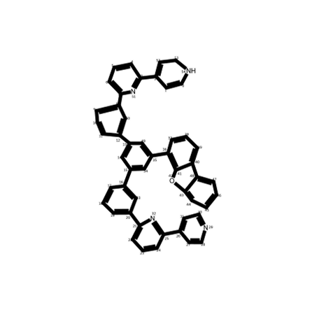 C1=CC(c2cccc(-c3cccc(-c4cc(-c5cccc(-c6cccc(-c7ccncc7)n6)c5)cc(-c5cccc6c5oc5ccccc56)c4)c3)n2)=CCN1